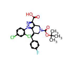 CC(C)(C)OC(=O)N1C/C(=C\c2ccc(F)cc2)c2c(c(C(=O)O)nn2-c2ccc(Cl)cc2Cl)C1